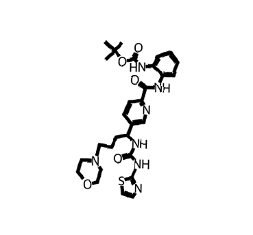 CC(C)(C)OC(=O)Nc1ccccc1NC(=O)c1ccc(C(CCCN2CCOCC2)NC(=O)Nc2nccs2)cn1